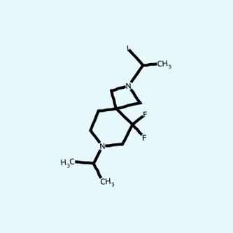 CC(C)N1CCC2(CN(C(C)I)C2)C(F)(F)C1